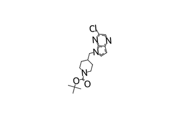 CC(C)(C)OC(=O)N1CCC(Cn2ccc3ncc(Cl)nc32)CC1